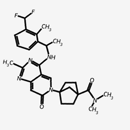 Cc1nc(NC(C)c2cccc(C(F)F)c2C)c2cn(C34CCC(C(=O)N(C)C)(CC3)C4)c(=O)cc2n1